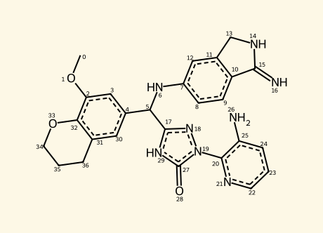 COc1cc(C(Nc2ccc3c(c2)CNC3=N)c2nn(-c3ncccc3N)c(=O)[nH]2)cc2c1OCCC2